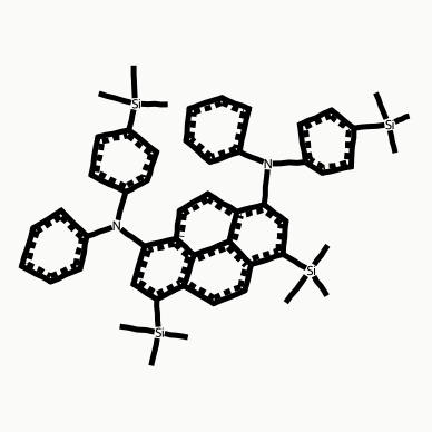 C[Si](C)(C)c1ccc(N(c2ccccc2)c2cc([Si](C)(C)C)c3ccc4c([Si](C)(C)C)cc(N(c5ccccc5)c5ccc([Si](C)(C)C)cc5)c5ccc2c3c54)cc1